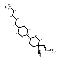 CC=C[C@]1(C#N)CC[C@@H](C2CCC(CCCCC)CC2)CC1